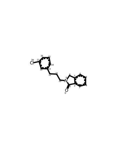 O=C1c2ccccc2CN1CCCc1cccc(Cl)c1